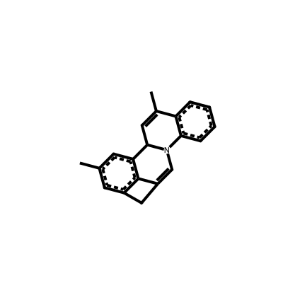 CC1=CC2c3cc(C)cc4c3C(=CN2c2ccccc21)C4